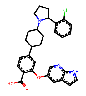 O=C(O)c1ccc(C2CCC(N3CCCC3c3ccccc3Cl)CC2)cc1Oc1cnc2[nH]ccc2c1